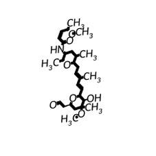 COC(C)/C=C\C(=O)NC1CC(C)C(C/C=C(C)/C=C/C2O[C@H](CC=O)CC(C)(OC)[C@@H]2O)OC1C